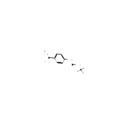 CC(C)(C)OC(=O)Oc1ccc(C(N)=O)cc1